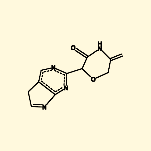 C=C1COC(c2ncc3c(n2)N=CC3)C(=O)N1